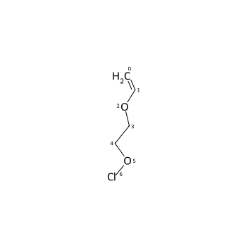 C=COCCOCl